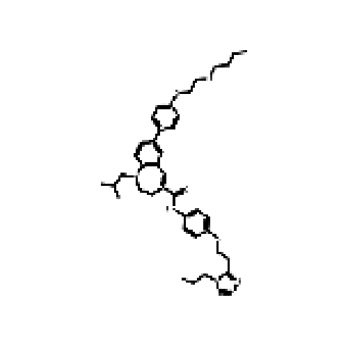 CCCCOCCOc1ccc(-c2ccc3c(c2)C=C(C(=O)Nc2ccc(SCCc4nncn4CCC)cc2)CCN3CC(C)C)cc1